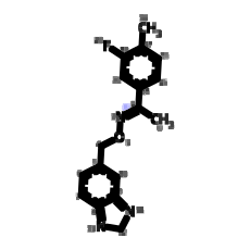 C/C(=N\OCc1ccc2c(c1)=NCN=2)c1ccc(C)c(F)c1